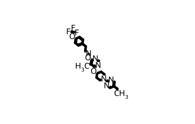 CCc1cnc(N2CCC(Oc3ncnc(ON=CCc4ccc(OC(F)(F)F)cc4)c3C)CC2)nc1